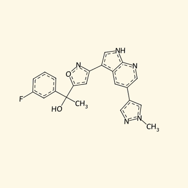 Cn1cc(-c2cnc3[nH]cc(-c4cc(C(C)(O)c5cccc(F)c5)on4)c3c2)cn1